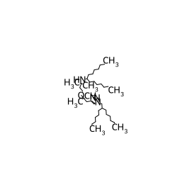 CCCCCCCC(CCCCCCC)NC(C)(C)CCOC(C)(C)Cc1cn(CC(CCCCCC)CCCCCC)nn1